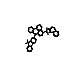 CC1(C)c2ccccc2-c2ccc(N(c3ccc(-c4nc5ccc6ccccc6c5o4)cc3)c3ccccc3-c3ccccc3)cc21